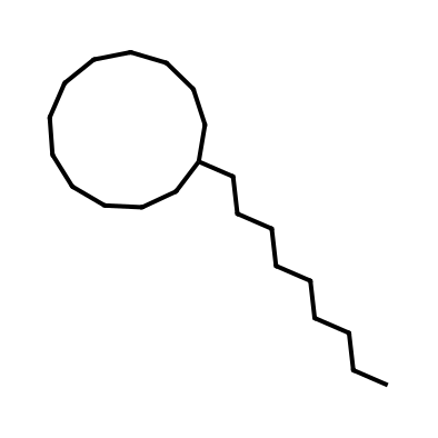 CCCCCCCCCC1CCCCCCCCCCCC1